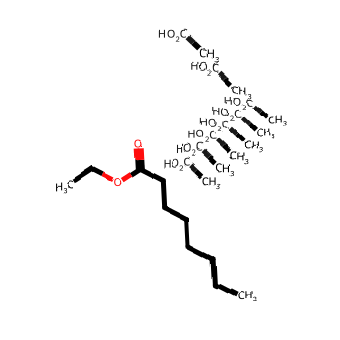 CC(=O)O.CC(=O)O.CC(=O)O.CC(=O)O.CC(=O)O.CC(=O)O.CC(=O)O.CC(=O)O.CCCCCCCC(=O)OCC